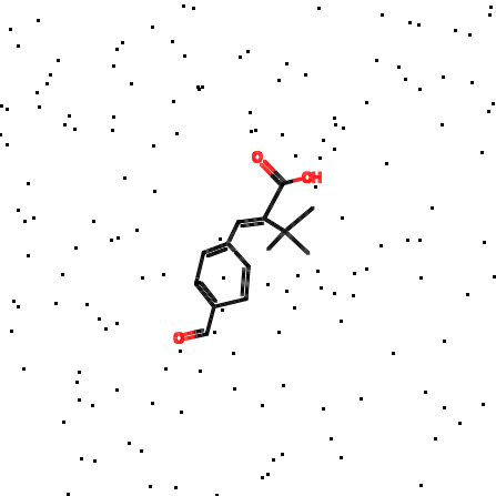 CC(C)(C)/C(=C\c1ccc(C=O)cc1)C(=O)O